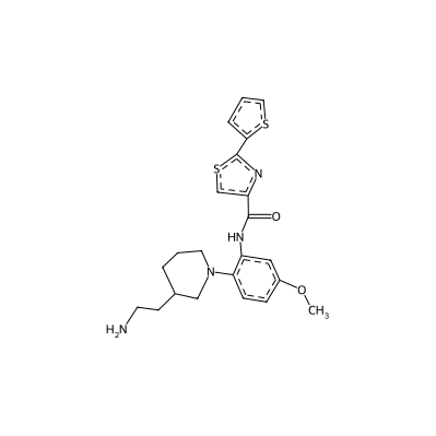 COc1ccc(N2CCCC(CCN)C2)c(NC(=O)c2csc(-c3cccs3)n2)c1